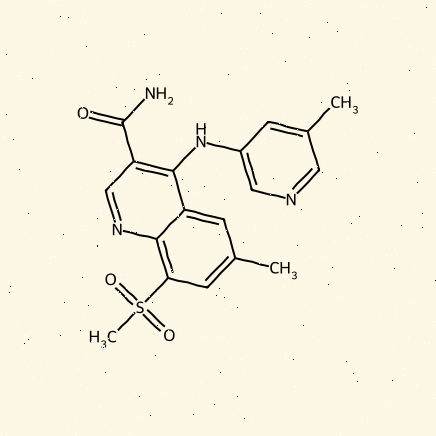 Cc1cncc(Nc2c(C(N)=O)cnc3c(S(C)(=O)=O)cc(C)cc23)c1